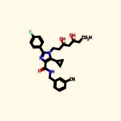 N#Cc1cccc(CNC(=O)c2nc(-c3ccc(F)cc3)n(CC[C@@H](O)C[C@@H](O)CC(=O)O)c2C2CC2)c1